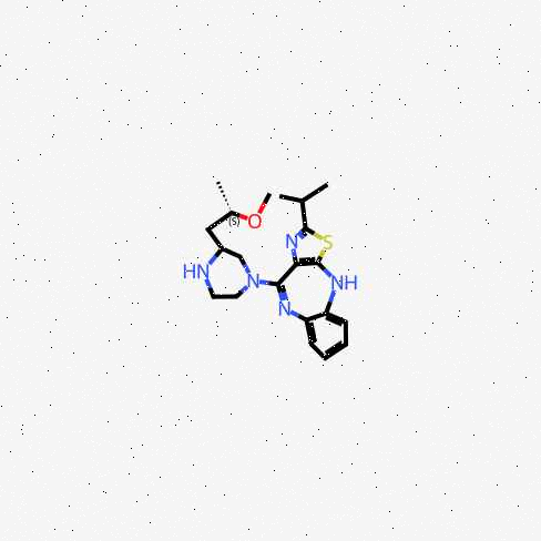 CO[C@@H](C)CC1CN(C2=Nc3ccccc3Nc3sc(C(C)C)nc32)CCN1